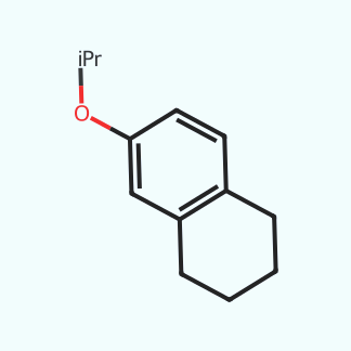 CC(C)Oc1ccc2c(c1)CCCC2